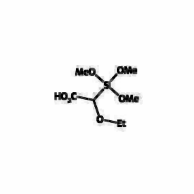 CCOC(C(=O)O)[Si](OC)(OC)OC